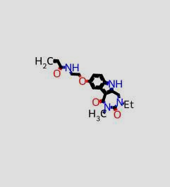 C=CC(=O)NCCOc1ccc2[nH]c3c(c2c1)C(=O)N(C)C(=O)N(CC)C3